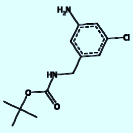 CC(C)(C)OC(=O)NCc1cc(N)cc(Cl)c1